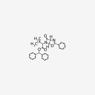 C=C(C)C(C(=O)OC(c1ccccc1)c1ccccc1)N1C(=O)[C@@H]2N=C(c3ccccc3)O[C@@H]21